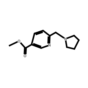 COC(=O)c1ccc(CN2CCCC2)nc1